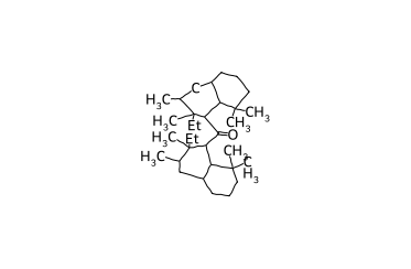 CCC1(C)C(C)CC2CCCC(C)(C)C2C1C(=O)C1C2C(CCCC2(C)C)CC(C)C1(C)CC